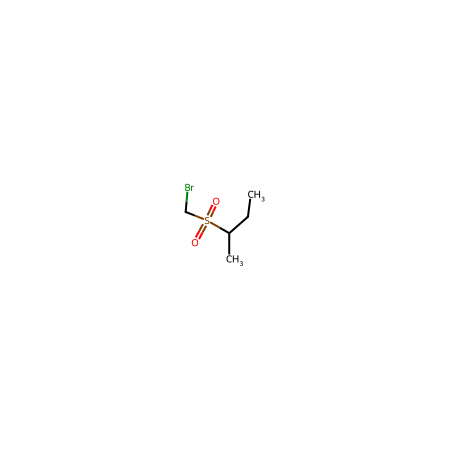 CCC(C)S(=O)(=O)CBr